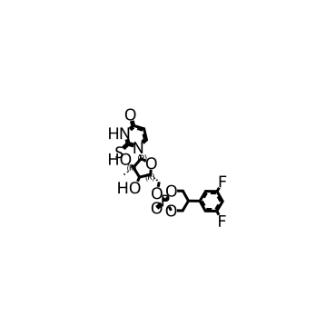 C[C@@]1(O)C(O)[C@@H](COP2(=O)OCC(c3cc(F)cc(F)c3)CO2)O[C@H]1n1ccc(=O)[nH]c1=S